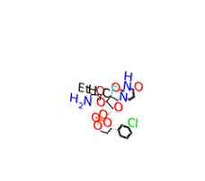 CC[C@H](N)C(=O)O[C@@H]1[C@@H](COP2(=O)OCC[C@@H](c3cccc(Cl)c3)O2)O[C@@H](n2ccc(=O)[nH]c2=O)[C@]1(C)F